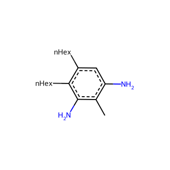 CCCCCCc1cc(N)c(C)c(N)c1CCCCCC